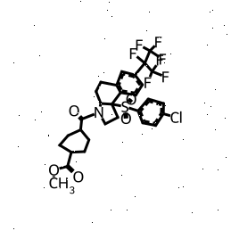 COC(=O)C1CCC(C(=O)N2CCC3(S(=O)(=O)c4ccc(Cl)cc4)c4ccc(C(F)(C(F)(F)F)C(F)(F)F)cc4CCC23)CC1